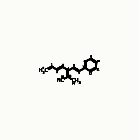 C=CC=CC(C=Cc1ccccc1)=C(C)C#N